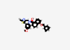 COc1ccc(N(Cc2csc(C)n2)C(=O)C2CCCc3c(OCc4ccccc4)cccc32)cc1